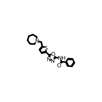 O=C(Nc1nnc(-c2ccc(CN3CCCCCC3)s2)o1)c1ccccc1